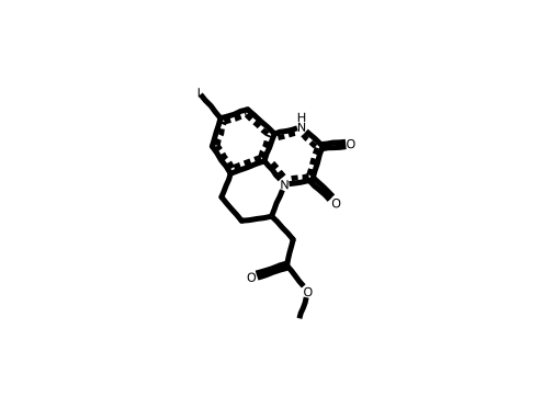 COC(=O)CC1CCc2cc(I)cc3[nH]c(=O)c(=O)n1c23